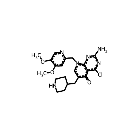 COc1cnc(Cn2cc(CC3CCNCC3)c(=O)c3c(Cl)nc(N)nc32)cc1OC